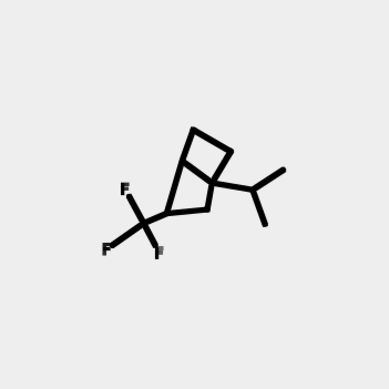 CC(C)C12CCC1C(C(F)(F)F)C2